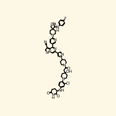 CCC1(C(=O)Nc2ccc(F)cc2)CCN(c2ccc(-c3nc(-c4cnn(C5CCN(C(=O)CC6(O)CCN(c7ccc(NC8CCC(=O)NC8=O)cc7Cl)CC6)CC5)c4)cn4ncc(C#N)c34)cn2)CC1